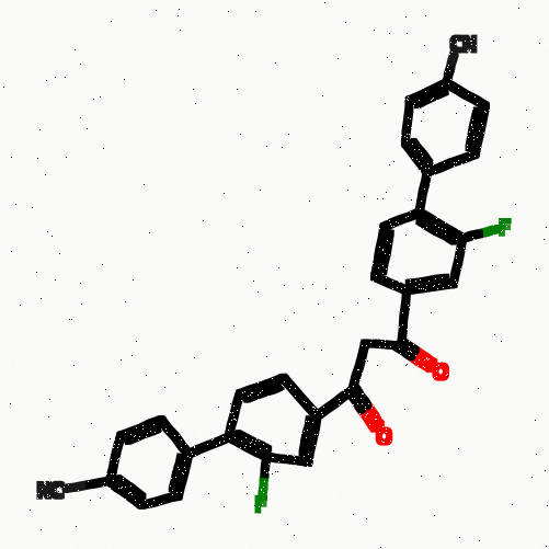 N#Cc1ccc(-c2ccc(C(=O)CC(=O)c3ccc(-c4ccc(C#N)cc4)c(F)c3)cc2F)cc1